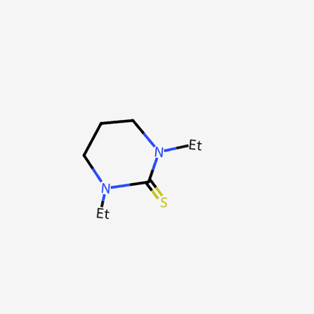 CCN1CCCN(CC)C1=S